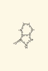 O=c1[nH][se]c2cccnc12